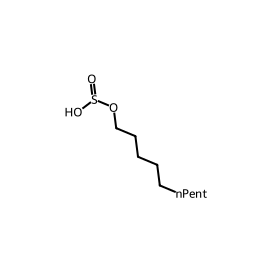 CCCCCCCCCCOS(=O)O